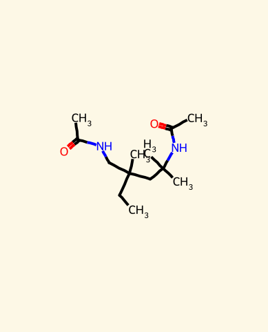 CCC(C)(CNC(C)=O)CC(C)(C)NC(C)=O